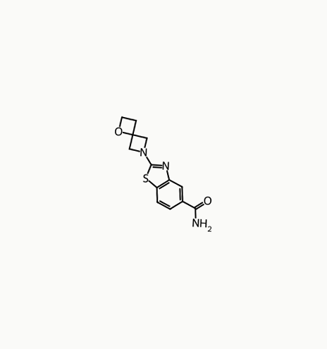 NC(=O)c1ccc2sc(N3CC4(CCO4)C3)nc2c1